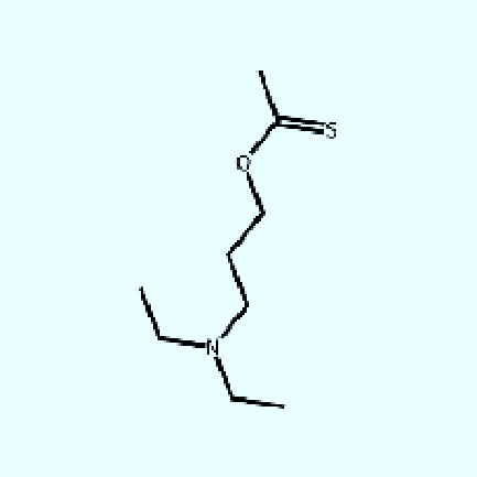 CCN(CC)CCCOC(C)=S